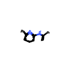 C=C(Nc1cccc(C(C)C)n1)C(C)C